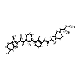 Cc1c(NC(=O)c2nc3c(n2C)CCN(C[C@H](O)CO)C3)cccc1-c1cccc(NC(=O)c2nc3c(n2C)CCN(C)C3)c1Cl